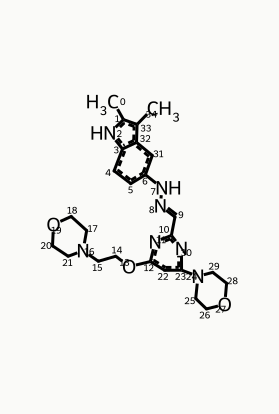 Cc1[nH]c2ccc(NN=Cc3nc(OCCN4CCOCC4)cc(N4CCOCC4)n3)cc2c1C